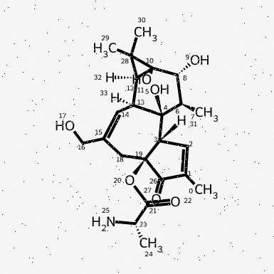 CC1=C[C@H]2[C@@]3(O)[C@H](C)[C@@H](O)[C@]4(O)[C@@H]([C@@H]3C=C(CO)C[C@@]2(OC(=O)[C@H](C)N)C1=O)C4(C)C